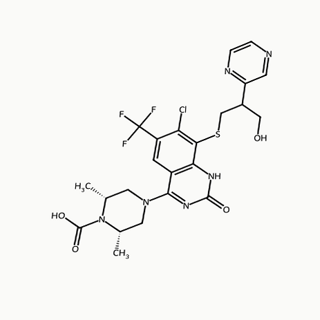 C[C@@H]1CN(c2nc(=O)[nH]c3c(SCC(CO)c4cnccn4)c(Cl)c(C(F)(F)F)cc23)C[C@H](C)N1C(=O)O